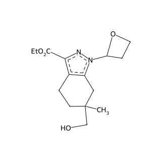 CCOC(=O)c1nn(C2CCO2)c2c1CCC(C)(CO)C2